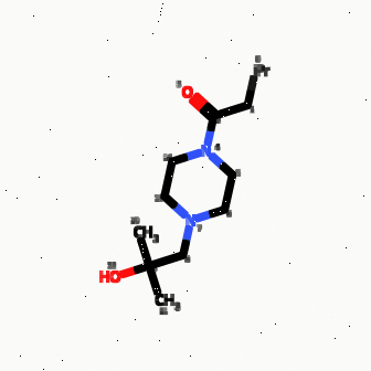 CC(C)CC(=O)N1CCN(CC(C)(C)O)CC1